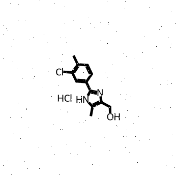 Cc1ccc(-c2nc(CO)c(C)[nH]2)cc1Cl.Cl